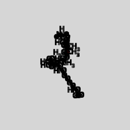 Cc1c(-c2ccc(N3CCc4cccc(C(=O)Nc5nc6ccccc6s5)c4C3)nc2C(=O)O)cnn1CC12CC3(C)CC(OCCN(C)C(=O)OCc4ccc(O[C@@H]5O[C@H](C(=O)O)[C@@H](O)[C@H](O)[C@@H]5O)c(NC(=O)CCNC(=O)CCOCCOCCOCCOCCNC(=O)CCN5C(=O)C=CC5=O)c4)(CC1(C)C3)C2